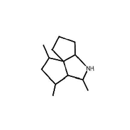 CC1CC(C)C23CCCC2NC(C)C13